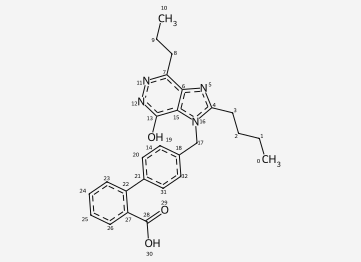 CCCCc1nc2c(CCC)nnc(O)c2n1Cc1ccc(-c2ccccc2C(=O)O)cc1